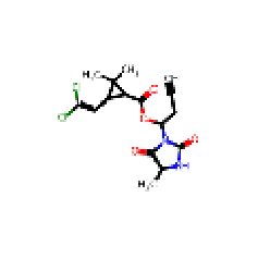 C#CCC(OC(=O)C1C(C=C(Cl)Cl)C1(C)C)N1C(=O)NC(C)C1=O